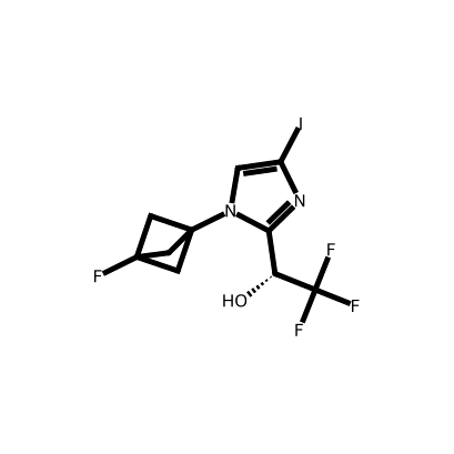 O[C@H](c1nc(I)cn1C12CC(F)(C1)C2)C(F)(F)F